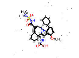 COc1ccc(C2CCCCC2)c2c1cc1n2CC2=C(C(=O)NS(=O)(=O)N(C)C)C2=C2C=CC[C@@H](NC(=O)O)[C@H]21